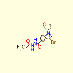 O=C(CC(F)(F)F)NNC(=O)c1ccc2c(c1)c(Br)nn2C1CCCOC1